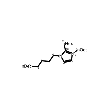 CCCCCCCCCCCCCCn1cc[n+](CCCCCCCC)c1CCCCCC